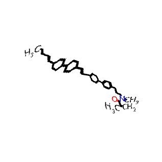 C=C(C)C(=O)N(C)CCCc1ccc(C2CCC(CCC3CCC(C4CCC(CCCCC)CC4)CC3)CC2)cc1